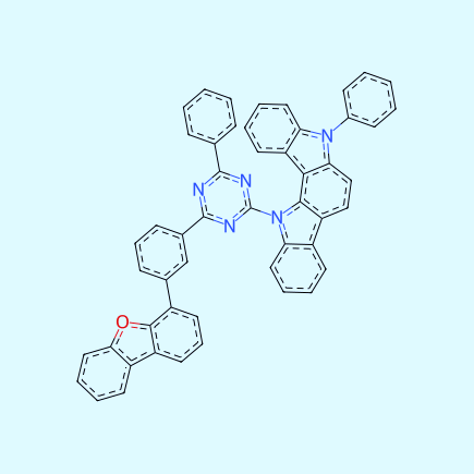 c1ccc(-c2nc(-c3cccc(-c4cccc5c4oc4ccccc45)c3)nc(-n3c4ccccc4c4ccc5c(c6ccccc6n5-c5ccccc5)c43)n2)cc1